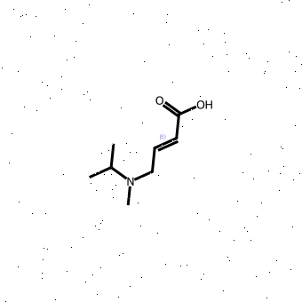 CC(C)N(C)C/C=C/C(=O)O